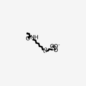 C=CC(=O)NCCCCCCC[N+](C)(C)CCCS(=O)(=O)[O-]